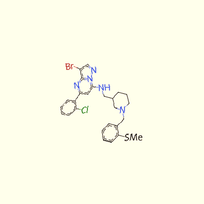 CSc1ccccc1CN1CCCC(CNc2cc(-c3ccccc3Cl)nc3c(Br)cnn23)C1